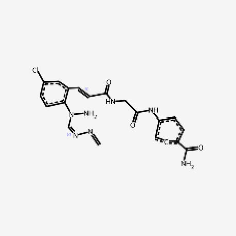 C=N/N=C\N(N)c1ccc(Cl)cc1/C=C/C(=O)NCC(=O)Nc1ccc(C(N)=O)cc1